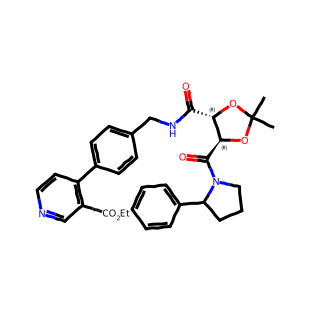 CCOC(=O)c1cnccc1-c1ccc(CNC(=O)[C@@H]2OC(C)(C)O[C@H]2C(=O)N2CCCC2c2ccccc2)cc1